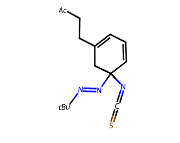 CC(=O)CCC1=CC=CC(N=C=S)(N=NC(C)(C)C)C1